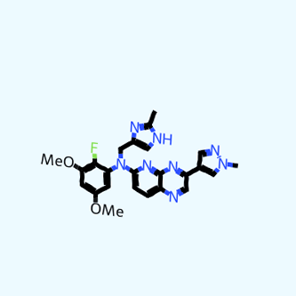 COc1cc(OC)c(F)c(N(Cc2c[nH]c(C)n2)c2ccc3ncc(-c4cnn(C)c4)nc3n2)c1